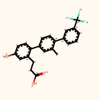 Cc1cc(-c2ccc(O)cc2CCC(=O)O)ccc1-c1cccc(C(F)(F)F)c1